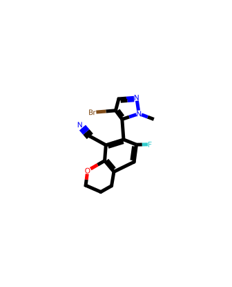 Cn1ncc(Br)c1-c1c(F)cc2c(c1C#N)OCCC2